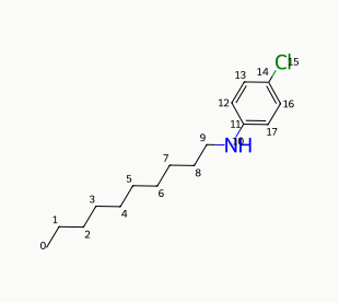 CCCCCCCCCCNc1ccc(Cl)cc1